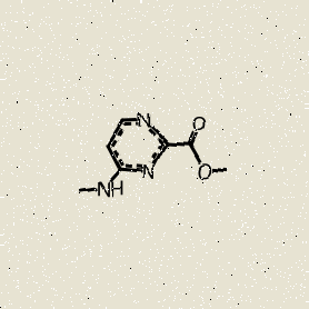 CNc1ccnc(C(=O)OC)n1